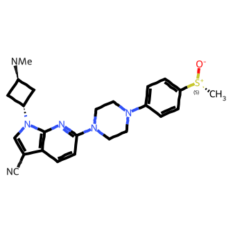 CN[C@H]1C[C@H](n2cc(C#N)c3ccc(N4CCN(c5ccc([S@@+](C)[O-])cc5)CC4)nc32)C1